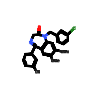 COc1cc2c(cc1OC)N(Cc1cccc(Cl)c1)C(=O)CN=C2c1cccc(C#N)c1